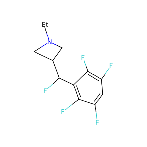 CCN1CC(C(F)c2c(F)c(F)cc(F)c2F)C1